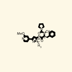 COc1cc(-c2cc(NC(=O)[C@H](Cc3ccccc3)N(C)C(=O)N3CCCC3)n(C)n2)ccn1